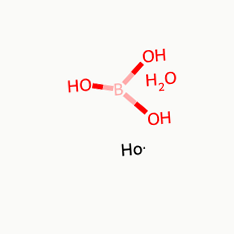 O.OB(O)O.[Ho]